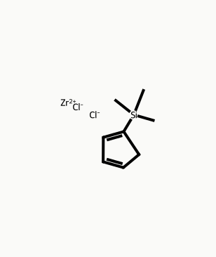 C[Si](C)(C)C1=CC=CC1.[Cl-].[Cl-].[Zr+2]